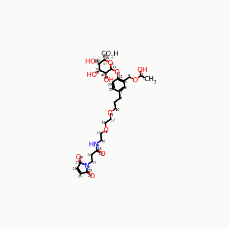 CC(O)OCc1cc(CCCOCCOCCNC(=O)CCN2C(=O)C=CC2=O)ccc1OC1O[C@H](C(=O)O)[C@@H](O)[C@H](O)[C@@H]1O